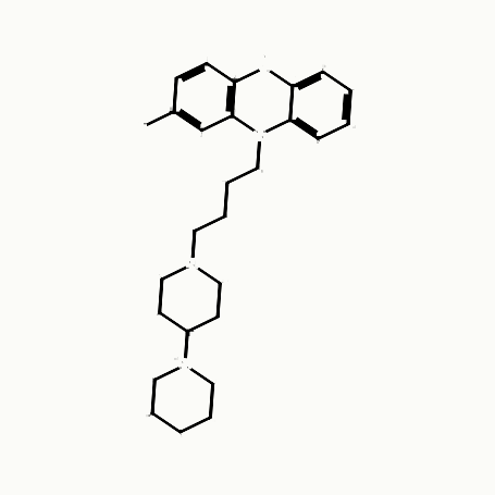 Clc1ccc2c(c1)N(CCCCN1CCC(N3CCCCC3)CC1)c1ccccc1S2